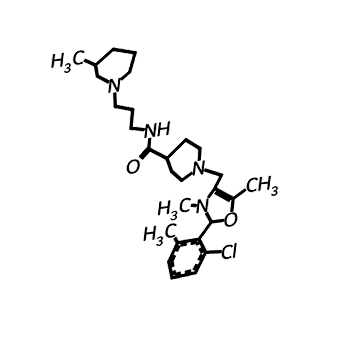 CC1=C(CN2CCC(C(=O)NCCCN3CCCC(C)C3)CC2)N(C)C(c2c(C)cccc2Cl)O1